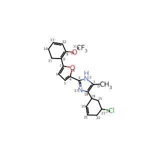 Cc1[nH]c(-c2ccc(C3=C(OC(F)(F)F)C=CCC3)o2)nc1C1C=CCC(Cl)C1